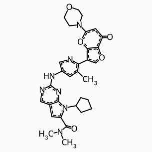 Cc1cc(Nc2ncc3cc(C(=O)N(C)C)n(C4CCCC4)c3n2)cnc1-c1coc2c(=O)cc(N3CCOCC3)oc12